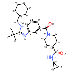 CC(C)(C)c1nc2cc(C(=O)N3CCC(C(=O)NC4CC4)CC3)ccc2n1CC1CCCCC1